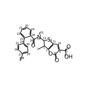 CC1c2oc(=O)c(C(=O)O)cc2SC1N(C)C(=O)c1ccccc1-c1ccc(F)cc1